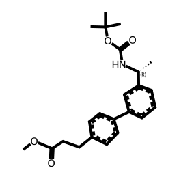 COC(=O)CCc1ccc(-c2cccc([C@@H](C)NC(=O)OC(C)(C)C)c2)cc1